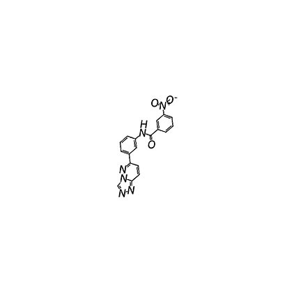 O=C(Nc1cccc(-c2ccc3nncn3n2)c1)c1cccc([N+](=O)[O-])c1